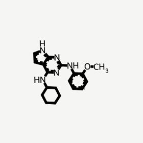 COc1c[c]ccc1Nc1nc(NC2CCCCC2)c2cc[nH]c2n1